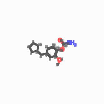 COc1cc([CH]C2CCCC2)ccc1OC(N)=O